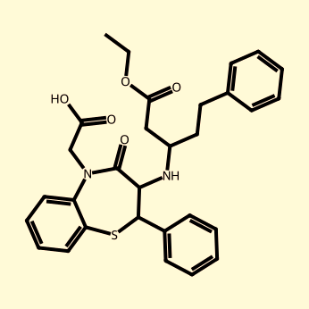 CCOC(=O)CC(CCc1ccccc1)NC1C(=O)N(CC(=O)O)c2ccccc2SC1c1ccccc1